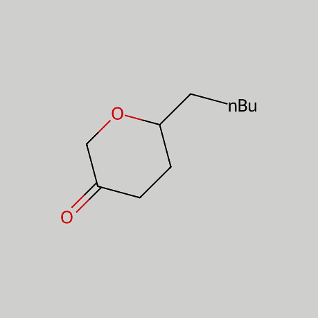 CCCCCC1CCC(=O)CO1